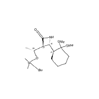 COC1(OC)CCCC[C@H]1[C@H]1NC(=O)[C@@H]1[C@@H](C)O[Si](C)(C)C(C)(C)C